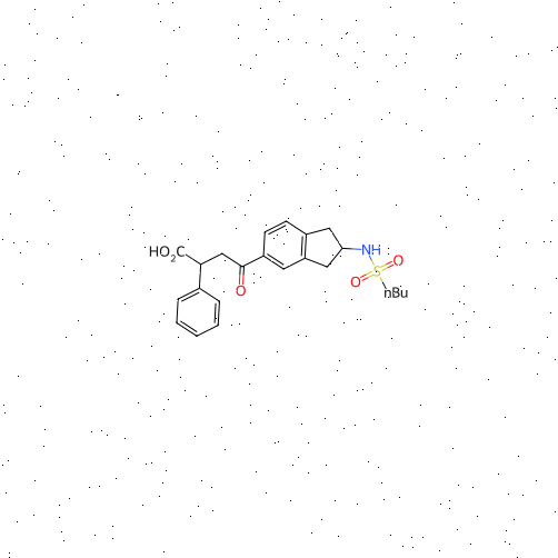 CCCCS(=O)(=O)NC1Cc2ccc(C(=O)CC(C(=O)O)c3ccccc3)cc2C1